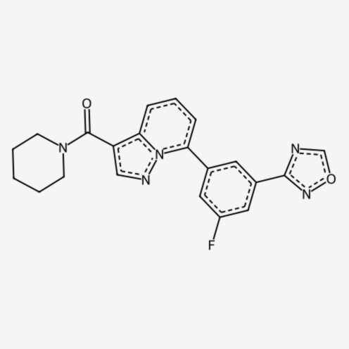 O=C(c1cnn2c(-c3cc(F)cc(-c4ncon4)c3)cccc12)N1CCCCC1